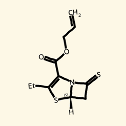 C=CCOC(=O)C1=C(CC)S[C@H]2CC(=S)N12